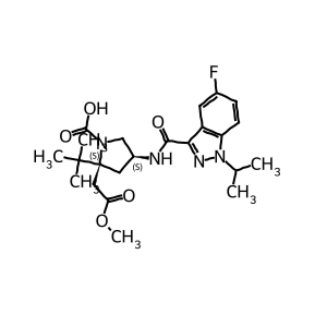 COC(=O)C[C@]1(C(C)(C)C)C[C@H](NC(=O)c2nn(C(C)C)c3ccc(F)cc23)CN1C(=O)O